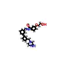 O=C(NCc1cccc(-c2cccc(CN3CCNCC3)c2)c1)c1cccc(OCCO)c1